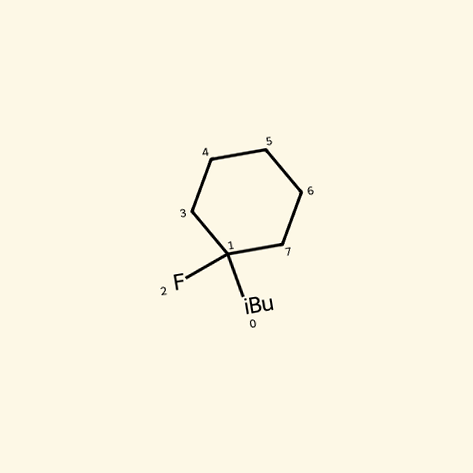 CCC(C)C1(F)CCCCC1